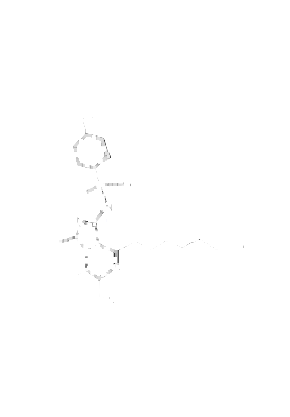 CCOC(=O)CCCCSc1sc(C)c(C)n2c(=O)[nH]/c(=N\S(=O)(=O)c3ccc(C(F)(F)F)cc3)c1-2